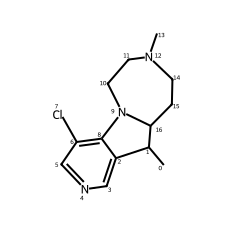 CC1c2cncc(Cl)c2N2CCN(C)CCC12